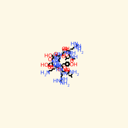 CC(=O)N[C@@H](CC(C)C)C(=O)N[C@@H](CCCNC(=N)N)C(=O)N[C@@H](CO)C(=O)N[C@@H](Cc1c[nH]cn1)C(=O)N[C@H](C(=O)N[C@@H](CC(=O)O)C(=O)N[C@@H](CCCCN)C(=O)N[C@@H](Cc1ccc(O)cc1)C(=O)N[C@@H](CCCNC(=N)N)C(=O)N[C@@H](CC(C)C)C(N)=O)[C@@H](C)O